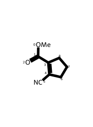 COC(=O)C1=C(C#N)CCC1